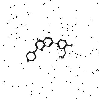 OCc1cc(-c2ccc3ncc(N4CCOCC4)nc3c2)ccc1F